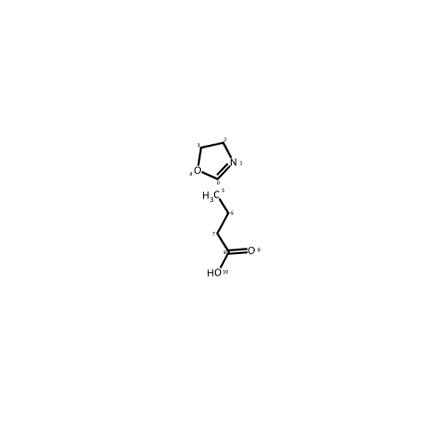 C1=NCCO1.CCCC(=O)O